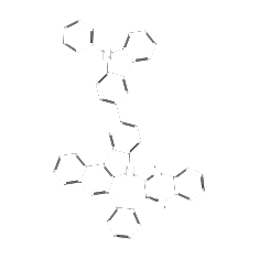 c1ccc(-n2c3ccccc3c3cc(-c4ccc5c(c4)c4c6ccccc6cc6c4n5-c4nc5ccccc5nc4-c4ccccc4-6)ccc32)cc1